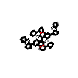 c1ccc(-c2ccccc2Oc2ccc3cc(-c4cccc5c4sc4ccccc45)ccc3c2-c2c(Oc3ccccc3-c3ccccc3)ccc3cc(-c4cccc5c4sc4ccccc45)ccc23)cc1